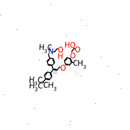 Cc1cc(OC/C=C(\c2ccc(CN(C)CCO)cc2)c2ccc(C(C)(C)C)cc2)ccc1OCC(=O)O